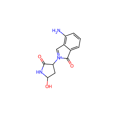 Nc1cccc2c1C=[N+](C1CC(O)NC1=O)C2=O